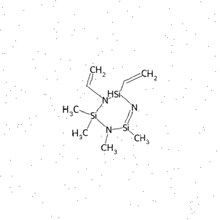 C=CN1[SiH](C=C)N=[Si](C)N(C)[Si]1(C)C